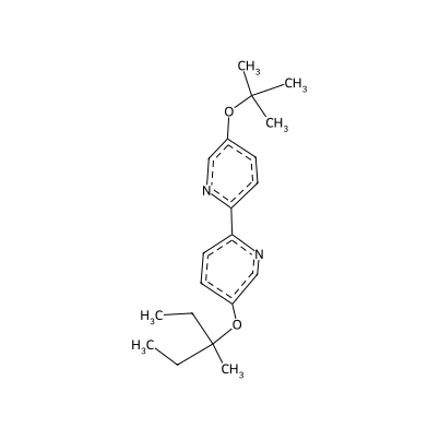 CCC(C)(CC)Oc1ccc(-c2ccc(OC(C)(C)C)cn2)nc1